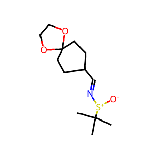 CC(C)(C)[S+]([O-])N=CC1CCC2(CC1)OCCO2